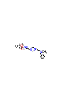 CN(CCCN1CCN(CCCNC(=O)OC(C)(C)C)CC1)Cc1ccccc1